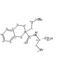 CC(C)C[C@H](NC(=O)C1(CSC(C)(C)C)CCc2ccccc2C1)C(=O)O